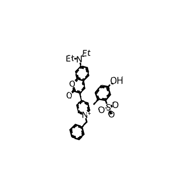 CCN(CC)c1ccc2cc(-c3cc[n+](Cc4ccccc4)cc3)c(=O)oc2c1.Cc1ccc(O)cc1S(=O)(=O)[O-]